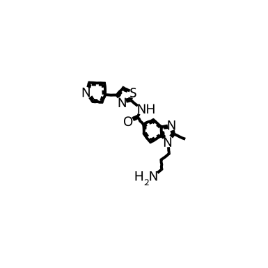 Cc1nc2cc(C(=O)Nc3nc(-c4ccncc4)cs3)ccc2n1CCCN